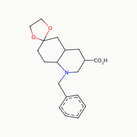 O=C(O)C1CC2CC3(CCC2N(Cc2ccccc2)C1)OCCO3